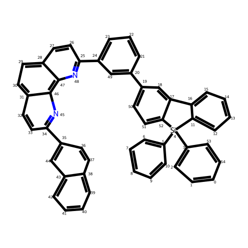 c1ccc([Si]2(c3ccccc3)c3ccccc3-c3cc(-c4cccc(-c5ccc6ccc7ccc(-c8ccc9ccccc9c8)nc7c6n5)c4)ccc32)cc1